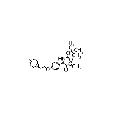 COC(=O)[C@@H](NC(=O)OC(C)(C)C)c1ccc(OCCN2CCSCC2)cc1